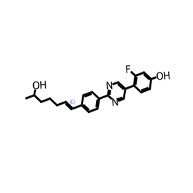 CC(O)CCC/C=C/c1ccc(-c2ncc(-c3ccc(O)cc3F)cn2)cc1